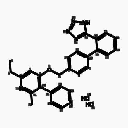 CCc1cc(OCc2ccc(-c3ccccc3-c3nnn[nH]3)cc2)c(-c2ccncc2)c(C)n1.Cl.Cl